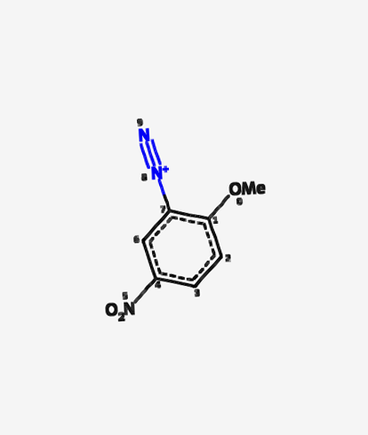 COc1ccc([N+](=O)[O-])cc1[N+]#N